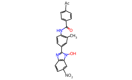 CC(=O)c1ccc(C(=O)Nc2ccc(-c3nc4ccc([N+](=O)[O-])cc4n3O)cc2C)cc1